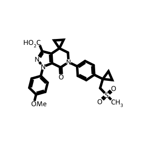 COc1ccc(-n2nc(C(=O)O)c3c2C(=O)N(c2ccc(C4(CS(C)(=O)=O)CC4)cc2)CC32CC2)cc1